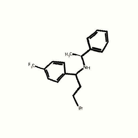 CC(C)CCC(N[C@@H](C)c1ccccc1)c1ccc(C(F)(F)F)cc1